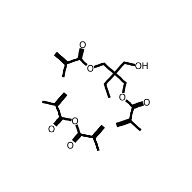 C=C(C)C(=O)OC(=O)C(=C)C.C=C(C)C(=O)OCC(CC)(CO)COC(=O)C(=C)C